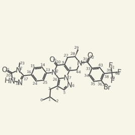 CC(C)Cc1cnn2c3c(c(=O)n(-c4ccc(-c5n[nH]c(=O)n5C)cc4)c12)C[C@@H](C)N(C(=O)c1ccc(Br)c(C(F)(F)F)c1)C3